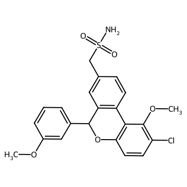 COc1cccc(C2Oc3ccc(Cl)c(OC)c3-c3ccc(CS(N)(=O)=O)cc32)c1